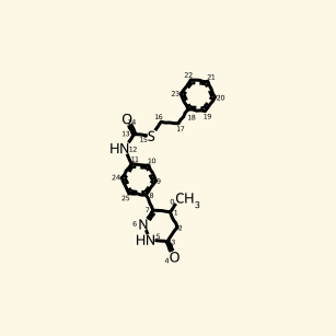 CC1CC(=O)NN=C1c1ccc(NC(=O)SCCc2ccccc2)cc1